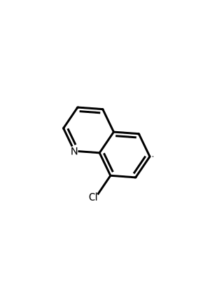 Clc1c[c]cc2cccnc12